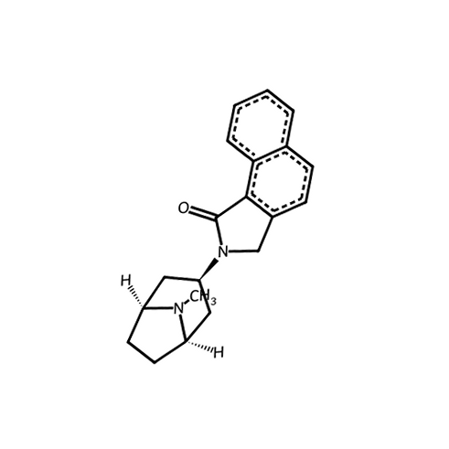 CN1[C@@H]2CC[C@H]1C[C@@H](N1Cc3ccc4ccccc4c3C1=O)C2